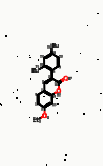 CCOc1ccc2cc(-c3ccc(C(C)CC)cc3C(C)CC)c(=O)oc2c1